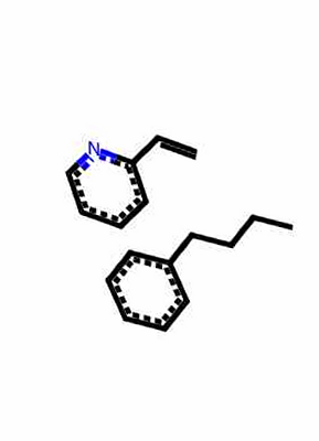 C=Cc1ccccn1.CCCCc1ccccc1